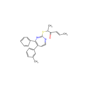 C/C=C/C(=O)C(C)SC1=NC(c2ccccc2)=C(c2cccc(C)c2)C=C=N1